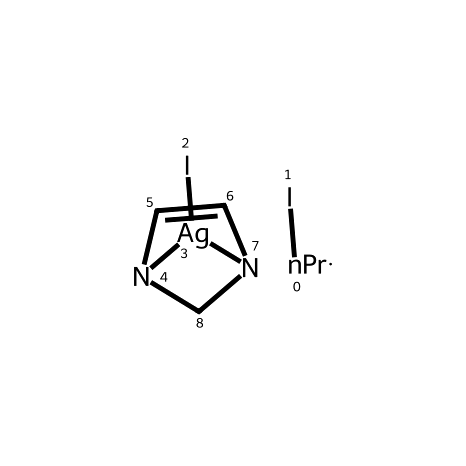 CC[CH]I.[I][Ag]1[N]2C=C[N]1C2